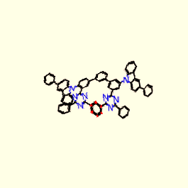 c1ccc(-c2ccc3c(c2)c2ccccc2n3-c2cc(-c3cccc(-c4ccc(-n5c6ccccc6c6cc(-c7ccccc7)ccc65)c(-c5nc(-c6ccccc6)nc(-c6ccccc6)n5)c4)c3)cc(-c3nc(-c4ccccc4)nc(-c4ccccc4)n3)c2)cc1